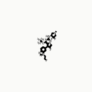 [2H]C([2H])([2H])Oc1nc(N[C@@H]2CN(C)CC2(F)F)nn2cc(F)c(-c3ccc4nnn(CCF)c4c3)c12